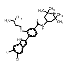 CN(C)CCOc1cc(C(=O)NC2CC(C)(C)NC(C)(C)C2)ccc1-c1cc2cc(Cl)c(Cl)cc2[nH]1